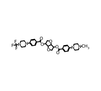 CN1CCN(c2ccc(C(=O)OC3COC4C(OC(=O)c5ccc(N6CCN(C(F)(F)F)CC6)cc5)COC34)cc2)CC1